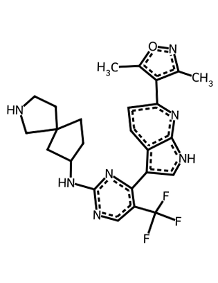 Cc1noc(C)c1-c1ccc2c(-c3nc(NC4CCC5(CCNC5)C4)ncc3C(F)(F)F)c[nH]c2n1